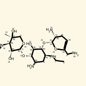 CCN[C@H]1C[C@@H](N)[C@H](O[C@H]2OC[C@](C)(O)[C@H](NC)[C@H]2O)[C@@H](O)[C@@H]1O[C@H]1OC(CN)=CC[C@H]1N